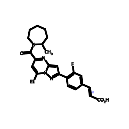 CCc1cc(C(=O)N2CCCCCC2C)nc2cc(-c3ccc(/C=C/C(=O)O)cc3F)nn12